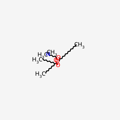 CCCCCCCCCCCCC(COC(=O)C(CCCCCCCC)CCCCCCCC)OC(=O)CCCCN(C)C